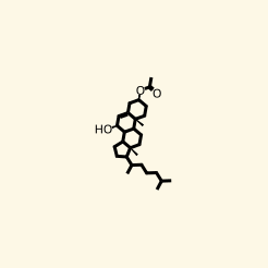 CC(=O)O[C@H]1CC[C@@]2(C)C(=C[C@H](O)C3C4CCC(C(C)CCCC(C)C)[C@@]4(C)CCC32)C1